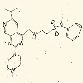 CC(C)c1cc2c(CNCCS(=O)(=O)N(C)c3ccccc3)nc(N3CCN(C)CC3)nc2cn1